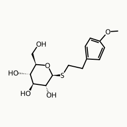 COc1ccc(CCS[C@@H]2O[C@H](CO)[C@@H](O)[C@H](O)[C@H]2O)cc1